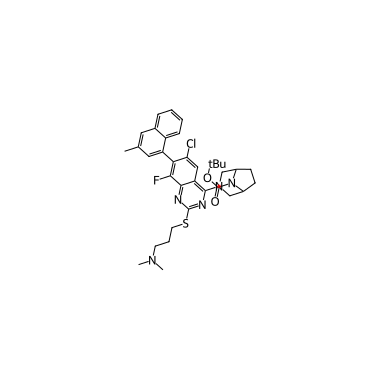 Cc1cc(-c2c(Cl)cc3c(N4CC5CCC(C4)N5C(=O)OC(C)(C)C)nc(SCCCN(C)C)nc3c2F)c2ccccc2c1